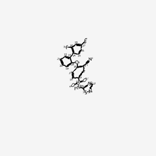 N#Cc1cc(S(=O)(=O)Nc2ncns2)ccc1Oc1ccccc1-c1ccc(F)cc1F